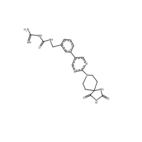 N=C(N)NC(=O)NCc1cccc(-c2cnc(N3CCC4(CC3)NC(=O)NC4=O)nc2)c1